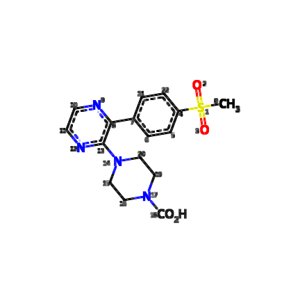 CS(=O)(=O)c1ccc(-c2nccnc2N2CCN(C(=O)O)CC2)cc1